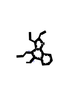 C=C/C=c1\c(=C/C)c2ccccc2c2nc(C=C)c(C=C)n12